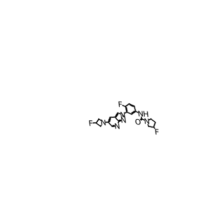 O=C(Nc1ccc(F)c(-n2cc3cc(N4CC(F)C4)cnc3n2)c1)N1CCC(F)C1